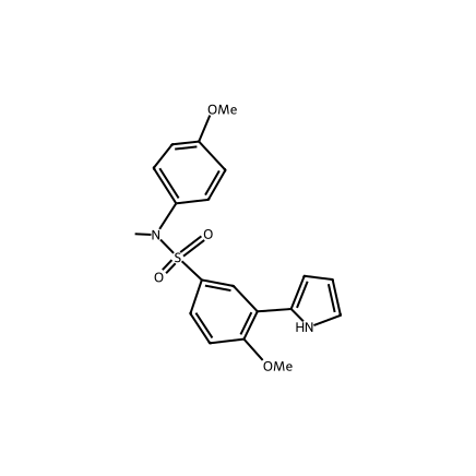 COc1ccc(N(C)S(=O)(=O)c2ccc(OC)c(-c3ccc[nH]3)c2)cc1